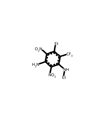 CCNc1c([N+](=O)[O-])c(N)c([N+](=O)[O-])c(CC)c1C(F)(F)F